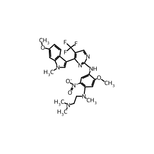 COc1ccc2c(-c3nc(Nc4cc([N+](=O)[O-])c(N(C)CCN(C)C)cc4OC)ncc3C(F)(F)F)cn(C)c2c1